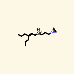 CCCC(=CC[SiH2]CCCN1CC1)CCC